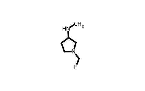 CNC1CCN(CF)C1